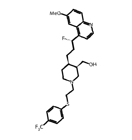 COc1ccc2nccc([C@@H](F)CC[C@@H]3CCN(CCSc4ccc(C(F)(F)F)cc4)C[C@@H]3CO)c2c1